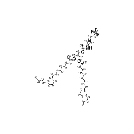 CC/C=C\C/C=C\C/C=C\CCCCCCCC(=O)OCC(COC(=O)CCCCCCC/C=C\C/C=C\CCCCC)COC(=O)NC1CN(CCC(F)(F)F)C1